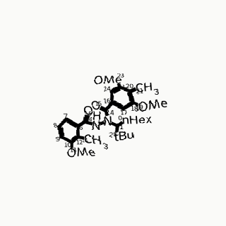 CCCCCCC(N(NC(=O)c1cccc(OC)c1C)C(=O)c1cc(OC)c(C)c(OC)c1)C(C)(C)C